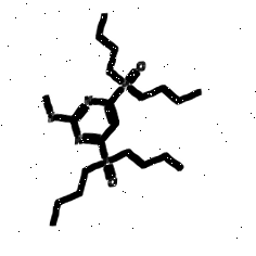 CCCCP(=O)(CCCC)c1cc(P(=O)(CCCC)CCCC)nc(SC)n1